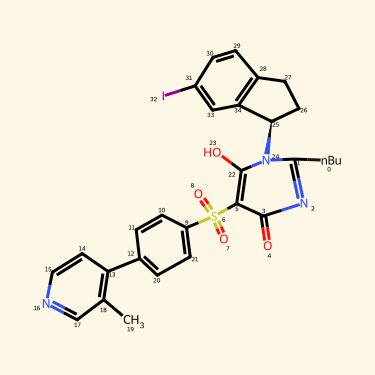 CCCCc1nc(=O)c(S(=O)(=O)c2ccc(-c3ccncc3C)cc2)c(O)n1[C@@H]1CCc2ccc(I)cc21